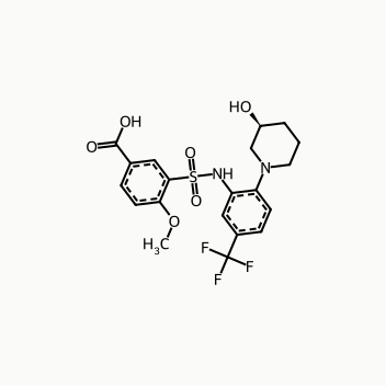 COc1ccc(C(=O)O)cc1S(=O)(=O)Nc1cc(C(F)(F)F)ccc1N1CCC[C@H](O)C1